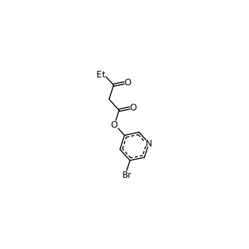 CCC(=O)CC(=O)Oc1cncc(Br)c1